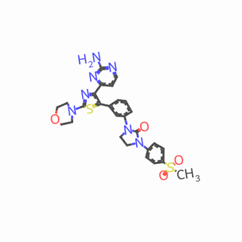 CS(=O)(=O)c1ccc(N2CCN(c3cccc(-c4sc(N5CCOCC5)nc4-c4ccnc(N)n4)c3)C2=O)cc1